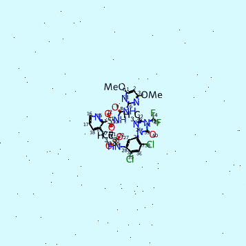 COc1cc(OC)nc(NC(=O)NS(=O)(=O)c2ncccc2C(F)(F)F)n1.Cc1nn(-c2cc(NS(C)(=O)=O)c(Cl)cc2Cl)c(=O)n1C(F)F